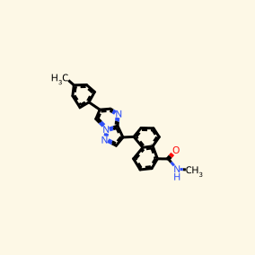 CNC(=O)c1cccc2c(-c3cnn4cc(-c5ccc(C)cc5)cnc34)cccc12